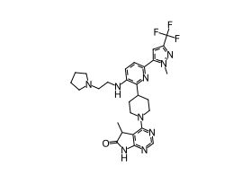 CC1C(=O)Nc2ncnc(N3CCC(c4nc(-c5cc(C(F)(F)F)nn5C)ccc4NCCN4CCCC4)CC3)c21